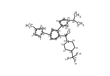 Cc1nnc(-c2ccc(C(=O)N3CCC(C(F)(F)F)CC3)c(-c3ccn(C(C)C)n3)c2)[nH]1